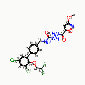 COc1cc(C(=O)NNC(=O)NCc2ccc(-c3cc(Cl)cc(Cl)c3OCC(F)F)cc2)on1